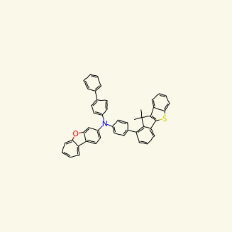 CC1(C)c2c(-c3ccc(N(c4ccc(-c5ccccc5)cc4)c4ccc5c(c4)oc4ccccc45)cc3)cccc2-c2sc3ccccc3c21